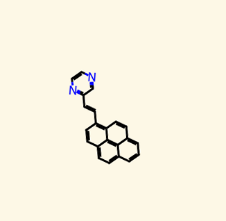 C(=Cc1ccc2ccc3cccc4ccc1c2c34)c1cnccn1